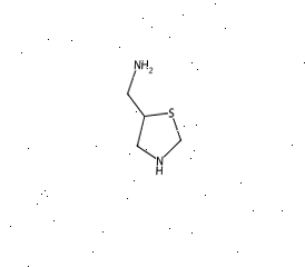 NCC1CNCS1